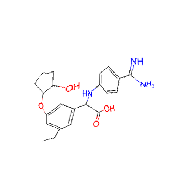 CCc1cc(OC2CCCC2O)cc(C(Nc2ccc(C(=N)N)cc2)C(=O)O)c1